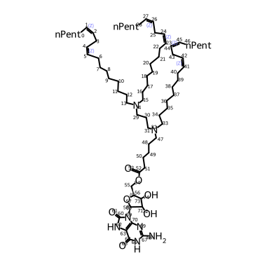 CCCCC/C=C\C/C=C\CCCCCCCCN(CCCCCCCC/C=C\C/C=C\CCCCC)CCCN(CCCCCCCC/C=C\C/C=C\CCCCC)CCCCCC(=O)OC[C@@H]1O[C@H](n2c(=O)[nH]c3c(=O)[nH]c(N)nc32)C(O)C1O